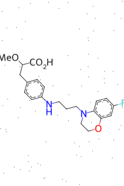 COC(Cc1ccc(NCCCN2CCOc3cc(F)ccc32)cc1)C(=O)O